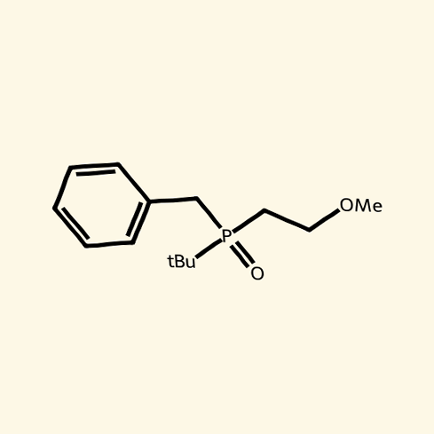 COCCP(=O)(Cc1ccccc1)C(C)(C)C